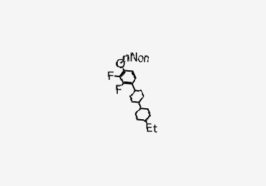 CCCCCCCCCOc1ccc(C2CCC(C3CCC(CC)CC3)CC2)c(F)c1F